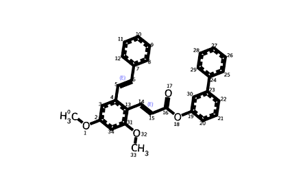 COc1cc(/C=C/c2ccccc2)c(/C=C/C(=O)Oc2cccc(-c3ccccc3)c2)c(OC)c1